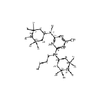 CCCCN(c1nc(Cl)nc(N(C)C2CC(C)(C)N(C)C(C)(C)C2)n1)C1CC(C)(C)N(C)C(C)(C)C1